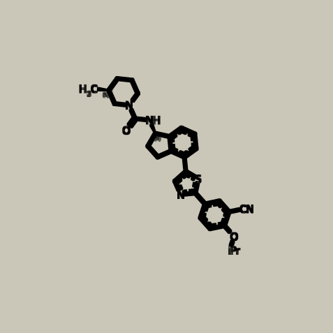 CC(C)Oc1ccc(-c2ncc(-c3cccc4c3CC[C@H]4NC(=O)N3CCC[C@H](C)C3)s2)cc1C#N